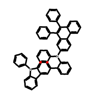 c1ccc(-c2c(-c3ccccc3)c3cc(N(c4ccccc4)c4ccccc4-c4ccc5c(c4)c4ccccc4n5-c4ccccc4)ccc3c3ccccc23)cc1